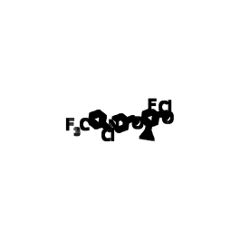 O=C(Cl)c1cc(C2CC2)c(OCC2CCN(C(Cl)c3cccc(C(F)(F)F)c3)CC2)cc1F